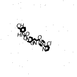 CCc1cccc(NC(=O)ON2CCC3(CC2)CC(C(=O)N2C=CN(c4ncccc4Cl)C=C2)=NO3)c1